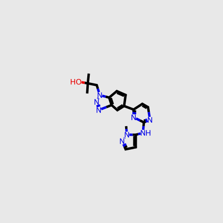 Cn1nccc1Nc1nccc(-c2ccc3c(c2)nnn3CC(C)(C)O)n1